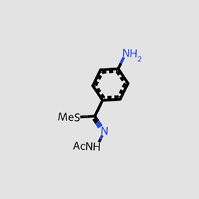 CS/C(=N\NC(C)=O)c1ccc(N)cc1